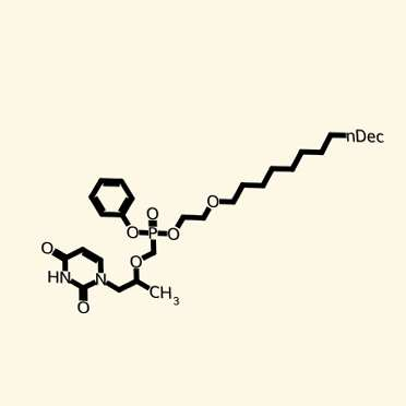 CCCCCCCCCCCCCCCCCCOCCOP(=O)(COC(C)Cn1ccc(=O)[nH]c1=O)Oc1ccccc1